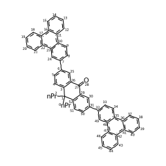 CCCC1(CCC)c2ccc(-c3ccc4c5ccccc5c5ccccc5c4c3)cc2C(=O)c2cc(-c3ccc4c5ccccc5c5ccccc5c4c3)ccc21